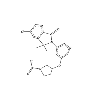 CCC(=O)N1CCC(Oc2cncc(N3C(=O)c4ccc(Cl)cc4C3(C)C)c2)C1